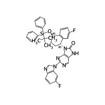 CC(C)(C)[Si](O[C@@H]1CC[C@@H](n2c(=O)[nH]c3cnc(-n4cnc5ccc(F)cc54)nc32)c2cc(F)ccc21)(c1ccccc1)c1ccccc1